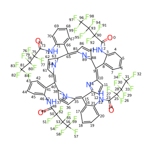 O=C(Nc1ccccc1C1=C2C=CC(=N2)C(c2ccccc2NC(=O)C(F)(F)C(F)(F)C(F)(F)F)=C2C=CC(=N2)C(c2ccccc2NC(=O)C(F)(F)C(F)(F)C(F)(F)F)=C2C=CC(=N2)C(c2ccccc2NC(=O)C(F)(F)C(F)(F)C(F)(F)F)=C2C=CC1=N2)C(F)(F)C(F)(F)C(F)(F)F